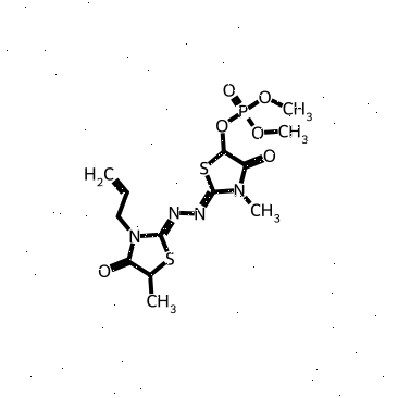 C=CCN1C(=O)C(C)SC1=NN=C1SC(OP(=O)(OC)OC)C(=O)N1C